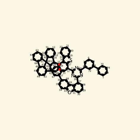 c1ccc(-c2cccc(-c3nc(-c4cccc5c4sc4ccccc45)nc(-c4cccc5oc6ccc(-c7cccc(-c8cccc9c8C8(c%10ccccc%10-c%10ccccc%108)c8ccccc8-9)c7)cc6c45)n3)c2)cc1